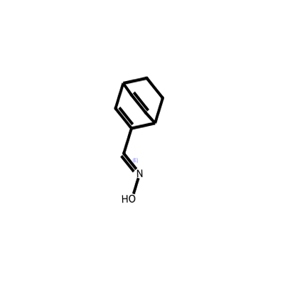 O/N=C/C1=CC2C=CC1CC2